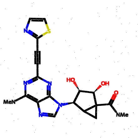 CNC(=O)C12CC1[C@@H](n1cnc3c(NC)nc(C#Cc4nccs4)nc31)[C@H](O)[C@@H]2O